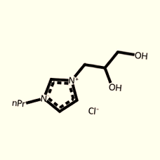 CCCn1cc[n+](CC(O)CO)c1.[Cl-]